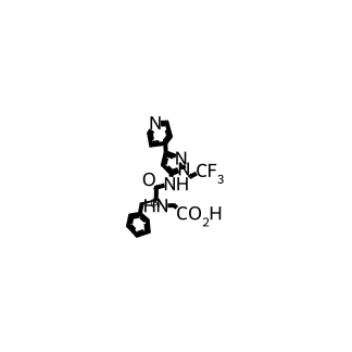 O=C(O)CN[C@@H](Cc1ccccc1)C(=O)Nc1cc(-c2ccncc2)nn1CC(F)(F)F